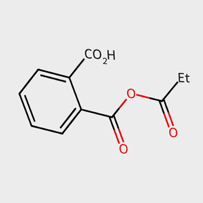 CCC(=O)OC(=O)c1ccccc1C(=O)O